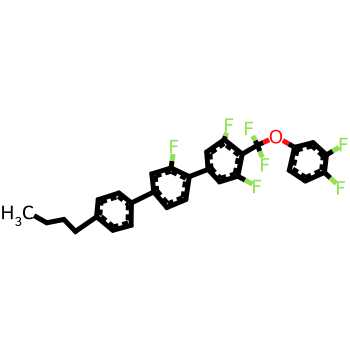 CCCCc1ccc(-c2ccc(-c3cc(F)c(C(F)(F)Oc4ccc(F)c(F)c4)c(F)c3)c(F)c2)cc1